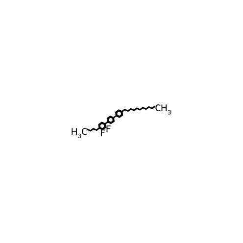 CCCCCCCCCCCCc1ccc(-c2ccc(-c3ccc(CCCCC)c(F)c3F)cc2)cc1